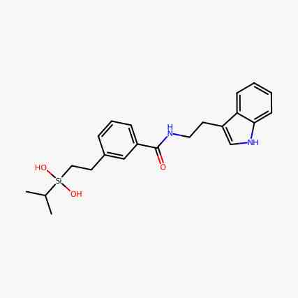 CC(C)[Si](O)(O)CCc1cccc(C(=O)NCCc2c[nH]c3ccccc23)c1